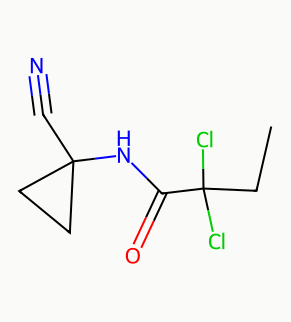 CCC(Cl)(Cl)C(=O)NC1(C#N)CC1